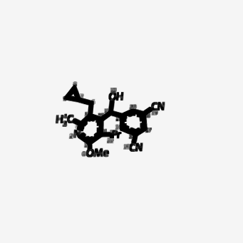 COc1nc(C)c(CC2CC2)c(C(O)c2cc(C#N)cc(C#N)c2)c1C(C)C